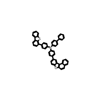 c1ccc(-c2ccc(N(c3ccc(-c4ccc5oc6ccc7ccccc7c6c5c4)cc3)c3ccc(-c4cccc5c4sc4ccccc45)cc3)cc2)cc1